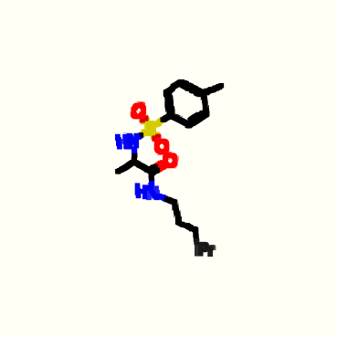 Cc1ccc(S(=O)(=O)NC(C)C(=O)NCCCC(C)C)cc1